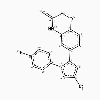 CCc1cc(-c2ccc3c(c2)NC(=O)CO3)n(-c2ccc(F)cc2)n1